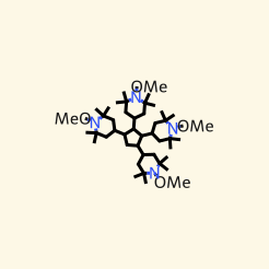 CON1C(C)(C)CC(C2CC(C3CC(C)(C)N(OC)C(C)(C)C3)C(C3CC(C)(C)N(OC)C(C)(C)C3)C2C2CC(C)(C)N(OC)C(C)(C)C2)CC1(C)C